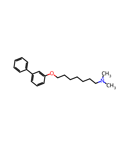 CN(C)CCCCCCCOc1cccc(-c2ccccc2)c1